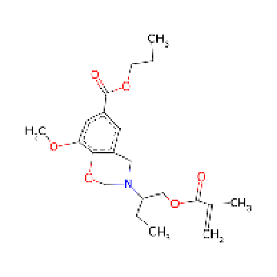 C=C(C)C(=O)OCC(CC)N1COc2c(cc(C(=O)OCCC)cc2OC)C1